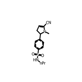 CCCNS(=O)(=O)c1ccc(C2CC=C(C#N)N2C)cc1